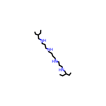 CCC(CC)CNCCCNCCCCNCCCNCC(CC)CC